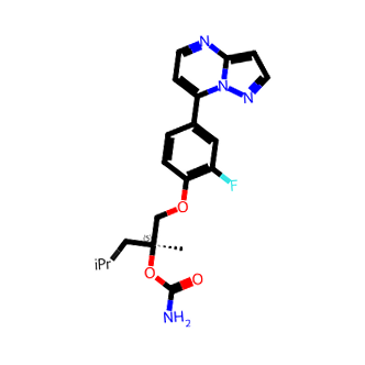 CC(C)C[C@@](C)(COc1ccc(-c2ccnc3ccnn23)cc1F)OC(N)=O